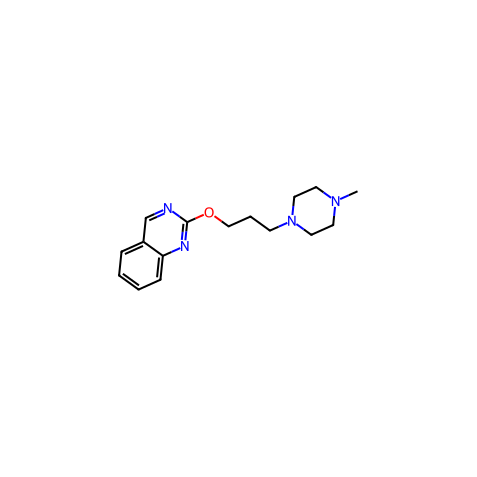 CN1CCN(CCCOc2ncc3ccccc3n2)CC1